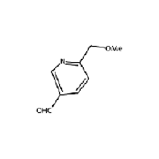 COCc1ccc(C=O)cn1